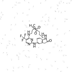 CCCS(=O)(=O)N(C)CCNc1nc(Nc2ccc3c(c2)CC(=O)N3)ncc1C(F)(F)F